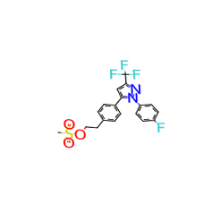 CS(=O)(=O)OCCc1ccc(-c2cc(C(F)(F)F)nn2-c2ccc(F)cc2)cc1